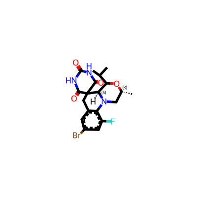 CC(C)C1O[C@H](C)CN2c3c(F)cc(Br)cc3CC3(C(=O)NC(=O)NC3=O)[C@@H]12